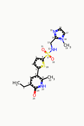 CCc1cc(-c2ccc(S(=O)(=O)NCc3nccn3C)s2)c(C)[nH]c1=O